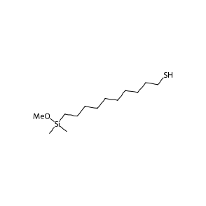 CO[Si](C)(C)CCCCCCCCCCS